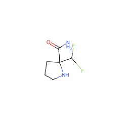 NC(=O)C1(C(F)F)CCCN1